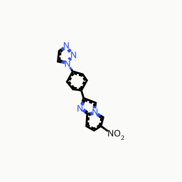 O=[N+]([O-])c1ccc2nc(-c3ccc(-n4ccnn4)cc3)cn2c1